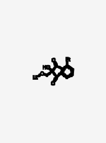 CCOCC1(O)C(=O)c2cccc(CC)c2C1=O